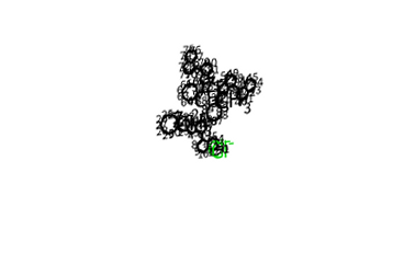 CC1(CC2=Cc3c(-c4cccc5ccccc45)cccc3[CH]2[Zr+2])CCCCCCCC1.CC1(CC2=Cc3c(-c4cccc5ccccc45)cccc3[CH]2[Zr+2][CH]2C(CC3(C)CCCCCCC3)=Cc3c(-c4cccc5ccccc45)cccc32)CCCCCCC1.[Cl-].[Cl-]